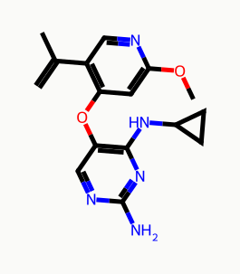 C=C(C)c1cnc(OC)cc1Oc1cnc(N)nc1NC1CC1